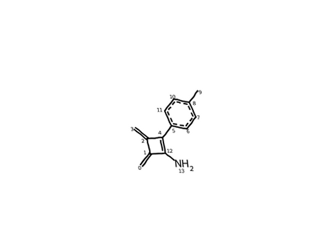 C=C1C(=C)C(c2ccc(C)cc2)=C1N